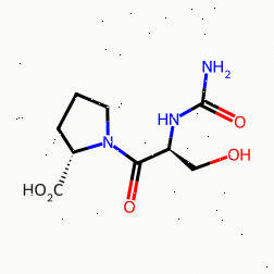 NC(=O)N[C@@H](CO)C(=O)N1CCC[C@H]1C(=O)O